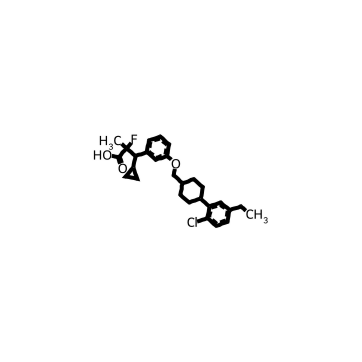 CCc1ccc(Cl)c(C2CCC(COc3cccc(C(C4CC4)C(C)(F)C(=O)O)c3)CC2)c1